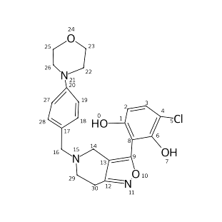 Oc1ccc(Cl)c(O)c1-c1onc2c1CN(Cc1ccc(N3CCOCC3)cc1)CC2